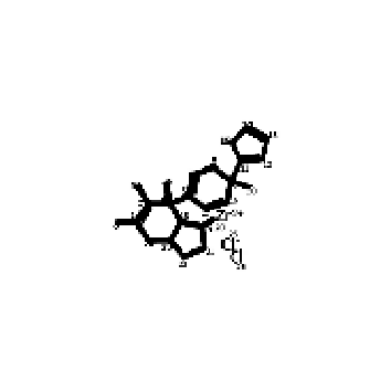 CC1=C(C)C(C)(C2=CCC(C)(C3=CC=CC3)C=C2)C2[CH]([Zr+2])CCC2C1.[Cl-].[Cl-]